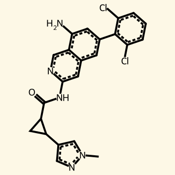 Cn1cc(C2CC2C(=O)Nc2cc3cc(-c4c(Cl)cccc4Cl)cc(N)c3cn2)cn1